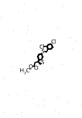 CCOC(=O)Cc1csc2cc(SCc3ccc(Cl)cc3Cl)ccc12